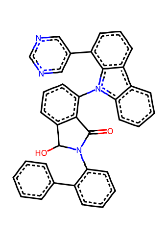 O=C1c2c(cccc2-n2c3ccccc3c3cccc(-c4cncnc4)c32)C(O)N1c1ccccc1-c1ccccc1